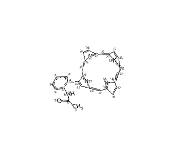 CC(=O)Nc1ccccc1C1=CC2=CC3=NC(=CC4=NC(=CC5=NC(=CC1=N2)C=C5)C=C4)C=C3